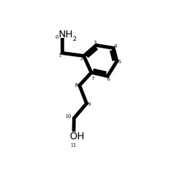 NCc1ccccc1CCCO